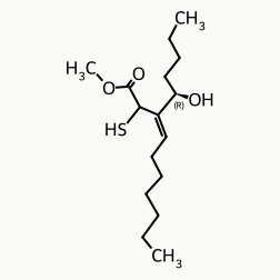 CCCCCCC=C(C(S)C(=O)OC)[C@H](O)CCCC